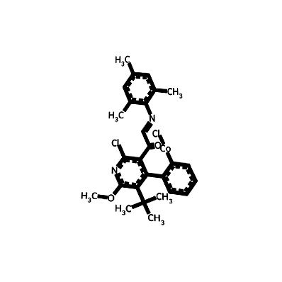 COc1nc(Cl)c(C(=O)C=Nc2c(C)cc(C)cc2C)c(-c2cccc[c]2[Co][Cl])c1C(C)(C)C